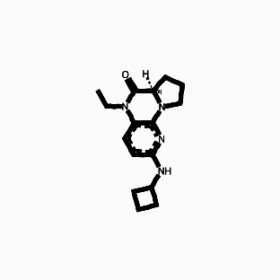 CCN1C(=O)[C@H]2CCCN2c2nc(NC3CCC3)ccc21